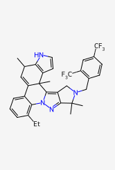 CCc1cccc2c1-n1nc3c(c1C1(C)C2=CC(C)c2[nH]ccc21)CN(Cc1ccc(C(F)(F)F)cc1C(F)(F)F)C3(C)C